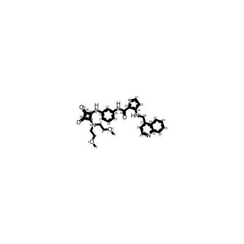 COCCN(CCOC)c1c(Nc2cccc(NC(=O)c3sccc3NCc3ccnc4ccccc34)c2)c(=O)c1=O